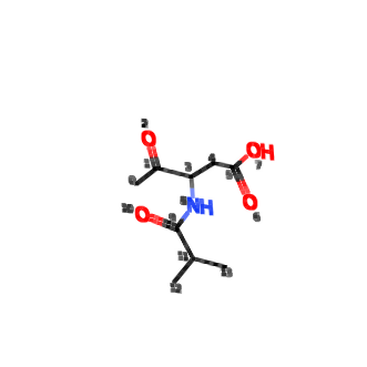 CC(=O)C(CC(=O)O)NC(=O)C(C)C